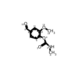 CNC(=O)Oc1ccc(C=O)cc1OC